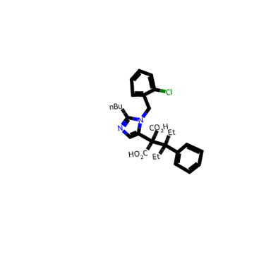 CCCCc1ncc(C(C(=O)O)(C(=O)O)C(CC)(CC)c2ccccc2)n1Cc1ccccc1Cl